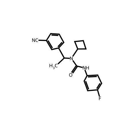 CC(c1cccc(C#N)c1)N(C(=O)Nc1ccc(F)cc1)C1CCC1